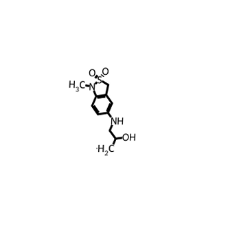 [CH2]C(O)CNc1ccc2c(c1)CS(=O)(=O)N2C